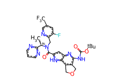 C[C@H](c1ncccn1)N(Cc1ncc(C(F)(F)F)cc1F)C(=O)c1cc2nc(NC(=O)OC(C)(C)C)c3c(c2[nH]1)COC3